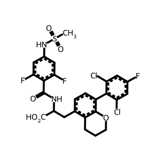 CS(=O)(=O)Nc1cc(F)c(C(=O)NC(Cc2ccc(-c3c(Cl)cc(F)cc3Cl)c3c2CCCO3)C(=O)O)c(F)c1